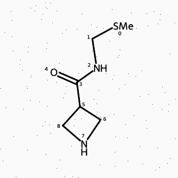 CSCNC(=O)C1CNC1